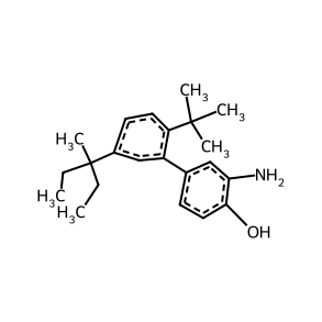 CCC(C)(CC)c1ccc(C(C)(C)C)c(-c2ccc(O)c(N)c2)c1